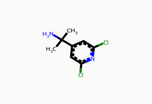 CC(C)(N)c1cc(Cl)nc(Cl)c1